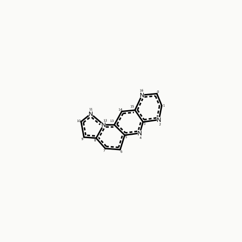 c1cnc2nc3ccc4ccnn4c3cc2n1